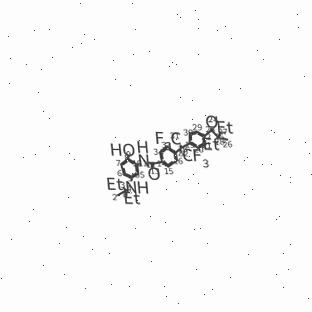 CCC(C)(CC)Nc1ccc(O)c(NC(=O)c2ccc(C(c3ccc(C(=O)C(C)(CC)CC)cc3)(C(F)(F)F)C(F)(F)F)cc2)c1